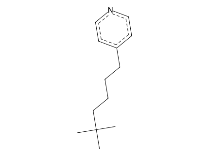 CC(C)(C)CCCCc1ccncc1